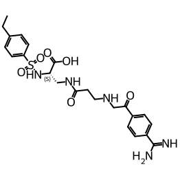 CCc1ccc(S(=O)(=O)N[C@@H](CNC(=O)CCNCC(=O)c2ccc(C(=N)N)cc2)C(=O)O)cc1